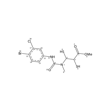 COC(=O)C(S)C(S)N(C)C(=O)Nc1ccc(Br)c(Cl)c1